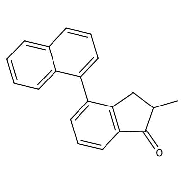 CC1Cc2c(cccc2-c2cccc3ccccc23)C1=O